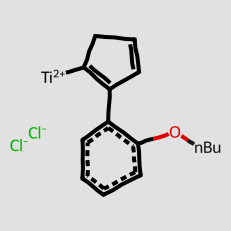 CCCCOc1ccccc1C1=[C]([Ti+2])CC=C1.[Cl-].[Cl-]